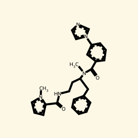 CN(C(=O)c1cccc(-n2ccnc2)c1)C(CCNC(=O)c1cccn1C)Cc1ccccc1